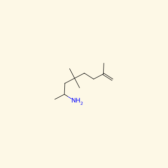 C=C(C)CCC(C)(C)CC(C)N